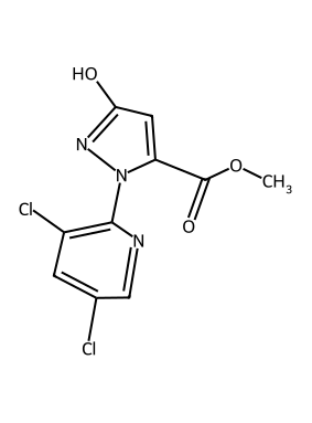 COC(=O)c1cc(O)nn1-c1ncc(Cl)cc1Cl